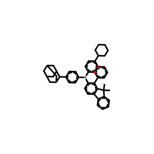 CC1(C)c2ccccc2-c2ccc(N(c3ccc(C4CCCCC4)cc3)c3ccc(C4C5CC6CC(C5)CC4C6)cc3)c(-c3ccccc3)c21